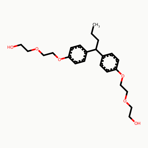 CCCC(c1ccc(OCCOCCO)cc1)c1ccc(OCCOCCO)cc1